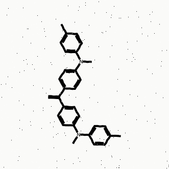 C=C(c1ccc(N(C)c2ccc(C)cc2)cc1)c1ccc(N(C)c2ccc(C)cc2)cc1